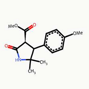 COC(=O)[C@@H]1C(=O)NC(C)(C)C1c1ccc(OC)cc1